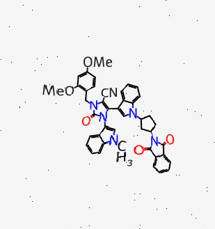 COc1ccc(Cn2c(C#N)c(-c3cn(C4CCC(N5C(=O)c6ccccc6C5=O)C4)c4ccccc34)n(-c3cn(C)c4ccccc34)c2=O)c(OC)c1